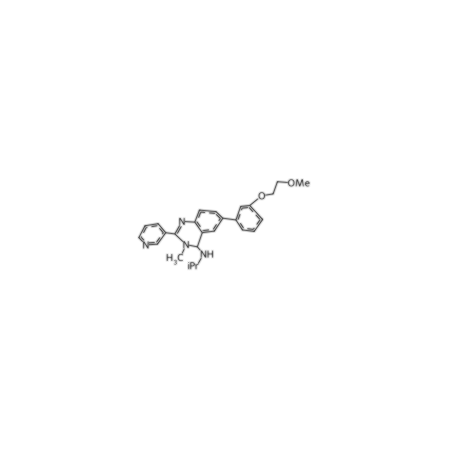 COCCOc1cccc(-c2ccc3c(c2)C(NC(C)C)N(C)C(c2cccnc2)=N3)c1